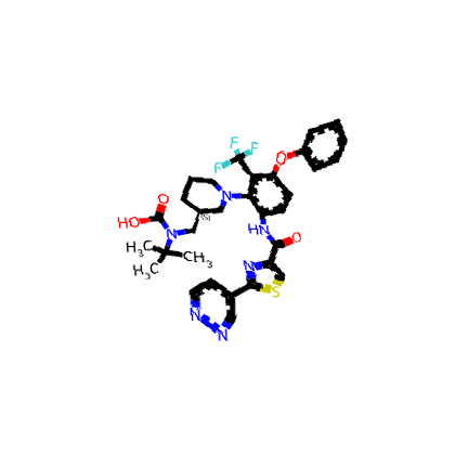 CC(C)(C)N(C[C@H]1CCCN(c2c(NC(=O)c3csc(-c4ccnnc4)n3)ccc(Oc3ccccc3)c2C(F)(F)F)C1)C(=O)O